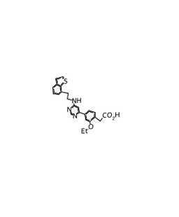 CCOc1cc(-c2cc(NCCc3cccc4ccsc34)ncn2)ccc1CC(=O)O